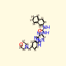 N=C(/C(=C\N)NC(=O)Nc1ccc2ccccc2c1)c1nc2cc(CN3CCOCC3)ccc2[nH]1